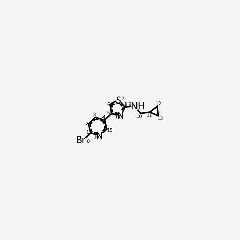 Brc1ccc(-c2csc(NCC3CC3)n2)cn1